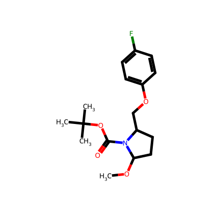 COC1CCC(COc2ccc(F)cc2)N1C(=O)OC(C)(C)C